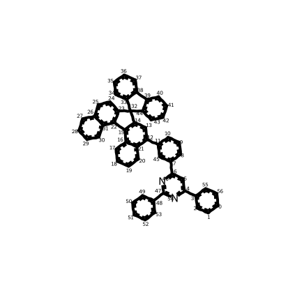 c1ccc(-c2cc(-c3cccc(-c4cc5c(c6ccccc46)-c4c(ccc6ccccc46)C54c5ccccc5-c5ccccc54)c3)nc(-c3ccccc3)n2)cc1